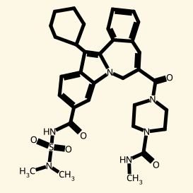 CNC(=O)N1CCN(C(=O)C2=Cc3ccccc3-c3c(C4CCCCC4)c4ccc(C(=O)NS(=O)(=O)N(C)C)cc4n3C2)CC1